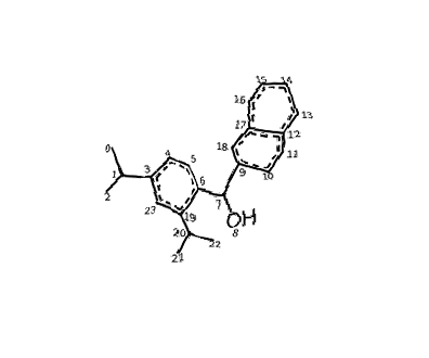 CC(C)c1ccc(C(O)c2ccc3ccccc3c2)c(C(C)C)c1